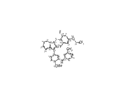 COc1cnc(-c2nn(Cc3c(F)cc(OCC(F)(F)F)cc3F)c3ccccc23)nc1Nc1ccnc(C)n1